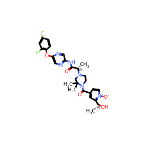 C[C@@H](O)c1cc(C(=O)N2CCN([C@@H](C)C(=O)Nc3cnc(Oc4ccc(F)cc4F)cn3)CC2(C)C)cc[n+]1[O-]